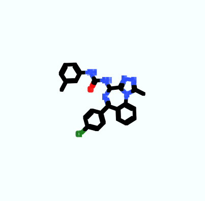 Cc1cccc(NC(=O)NC2N=C(c3ccc(Cl)cc3)c3ccccc3-n3c(C)nnc32)c1